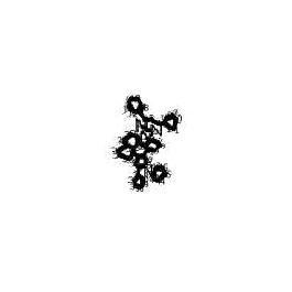 c1ccc(-c2cc(-c3ccccc3)nc(-n3c4cccc5c4c4c6c(cccc6ccc43)-c3cc4c6ccccc6n(-c6ccccc6)c4cc3-5)n2)cc1